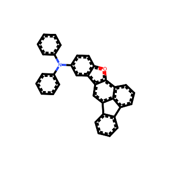 c1ccc(N(c2ccccc2)c2ccc3oc4c5cccc6c5c(cc4c3c2)-c2ccccc2-6)cc1